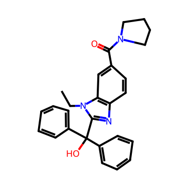 CCn1c(C(O)(c2ccccc2)c2ccccc2)nc2ccc(C(=O)N3CCCC3)cc21